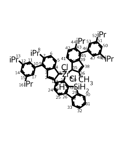 CC1=Cc2c(ccc(C(C)C)c2-c2cc(C(C)C)cc(C(C)C)c2)[CH]1[Zr]([Cl])([Cl])([c]1cccc2c1[SiH2]c1ccccc1-2)[CH]1C(C)=Cc2c1ccc(C(C)C)c2-c1cc(C(C)C)cc(C(C)C)c1